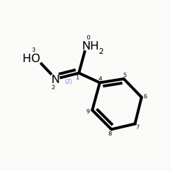 N/C(=N\O)C1=CCCC=C1